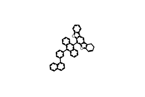 C1=Cc2oc3c(-c4c5ccccc5c(-c5cccc(-c6cccc7ccccc67)c5)c5ccccc45)c4oc5ccccc5c4cc3c2CC1